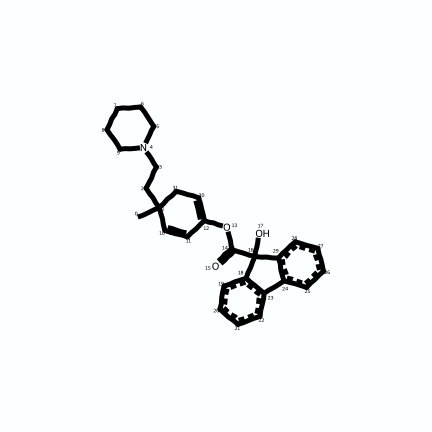 CC1(CCN2CCCCC2)C=CC(OC(=O)C2(O)c3ccccc3-c3ccccc32)=CC1